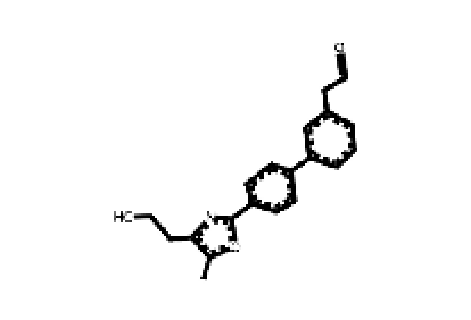 Cc1oc(-c2ccc(-c3cccc(CC=O)c3)cc2)nc1CCO